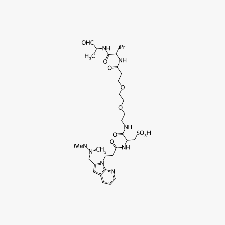 CNN(C)Cc1cc2cccnc2n1CCC(=O)NC(CS(=O)(=O)O)C(=O)NCCOCCOCCC(=O)NC(C(=O)NC(C)C=O)C(C)C